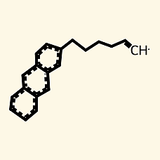 [CH]=CCCCCc1ccc2cc3ccccc3cc2c1